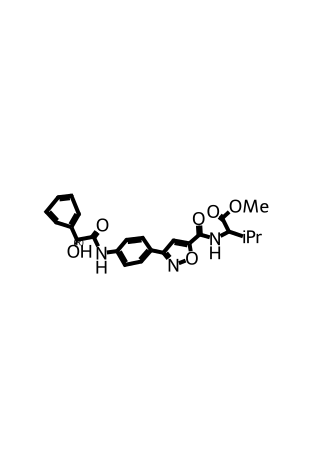 COC(=O)C(NC(=O)c1cc(-c2ccc(NC(=O)[C@H](O)c3ccccc3)cc2)no1)C(C)C